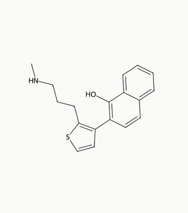 CNCCCc1sccc1-c1ccc2ccccc2c1O